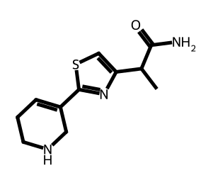 CC(C(N)=O)c1csc(C2=CCCNC2)n1